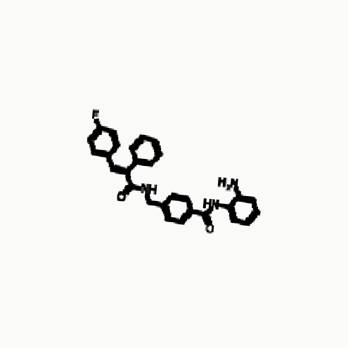 Nc1ccccc1NC(=O)c1ccc(CNC(=O)C(=Cc2ccc(F)cc2)c2ccccc2)cc1